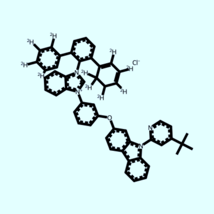 [2H]C1=C([2H])C([2H])C([2H])([2H])C(c2cccc(-c3cc([2H])c([2H])c([2H])c3[2H])c2-n2c[n+](-c3cccc(Oc4ccc5c6ccccc6n(-c6cc(C(C)(C)C)ccn6)c5c4)c3)c3ccccc32)=C1[2H].[Cl-]